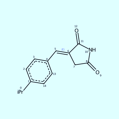 CC(C)c1ccc(/C=C2\CC(=O)NC2=O)cc1